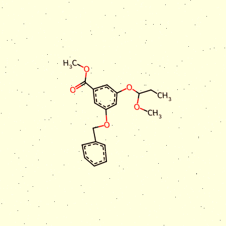 CCC(OC)Oc1cc(OCc2ccccc2)cc(C(=O)OC)c1